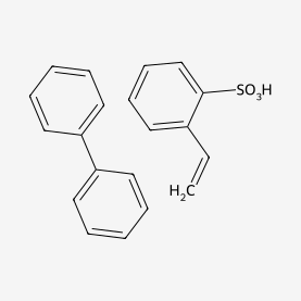 C=Cc1ccccc1S(=O)(=O)O.c1ccc(-c2ccccc2)cc1